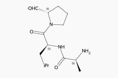 CC(C)C[C@H](NC(=O)[C@H](C)N)C(=O)N1CCC[C@H]1[C]=O